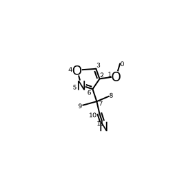 COc1conc1C(C)(C)C#N